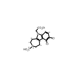 CCOC(=O)Cn1c2c(c3c(Cl)c(Cl)ccc31)CCN(C(=O)O)CC2